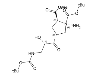 COC(=O)[C@@H]1C[C@@H](C(=O)[C@@H](O)CNC(=O)OC(C)(C)C)C[N@+]1(N)C(=O)OC(C)(C)C